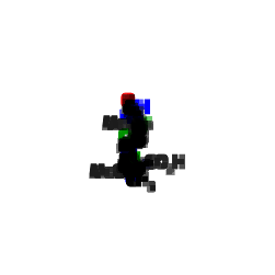 COc1cc(Cn2ncc3c(-c4cccc(-c5cc(F)c(CNC[C@@H]6CCC(=O)N6)c(OC)c5)c4Cl)cccc32)c(Cl)cc1CN(C)[C@H]1CC[C@H](/C=C/C(=O)O)CC1